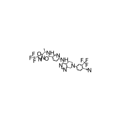 C[C@@H](NC(=O)c1ccc(Nc2ncnc3c2CCN(c2ccc(C#N)c(C(F)(F)F)c2)C3)nc1)c1nnc(C(F)(F)F)o1